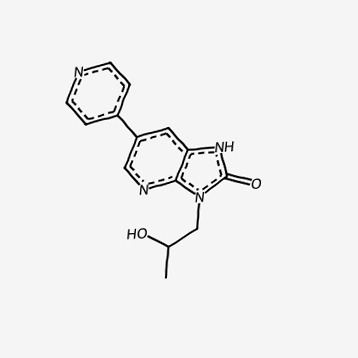 CC(O)Cn1c(=O)[nH]c2cc(-c3ccncc3)cnc21